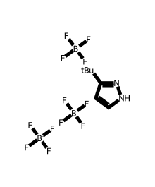 CC(C)(C)c1cc[nH]n1.F[B-](F)(F)F.F[B-](F)(F)F.F[B-](F)(F)F